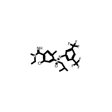 CCN(C)C(=N)c1cc(C)c(S(=O)(CC(C)C)=Nc2cc(C(F)(F)F)cc(C(F)(F)F)c2)cc1Cl